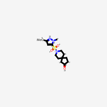 COc1cc(S(=O)(=O)N2CCC3(CCC(=O)C3)CC2)n(C)n1